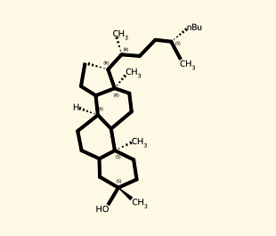 CCCC[C@H](C)CC[C@@H](C)[C@H]1CCC2[C@@H]3CCC4C[C@@](C)(O)CC[C@]4(C)C3CC[C@@]21C